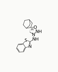 c1ccc2sc(NN3C[C@]4(CC5CCC4CC5)ON3)nc2c1